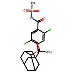 COC(=O)C12CC3CC(C1)C(Oc1cc(F)c(C(=O)NS(C)(=O)=O)cc1Cl)C(C3)C2